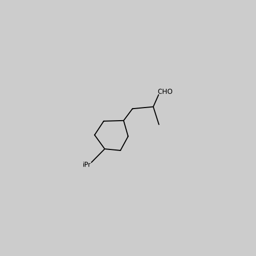 CC(C=O)CC1CCC(C(C)C)CC1